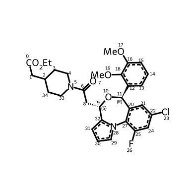 CCOC(=O)CC1CCN(C(=O)C[C@@H]2O[C@@H](c3cccc(OC)c3OC)c3cc(Cl)cc(F)c3-n3cccc32)CC1